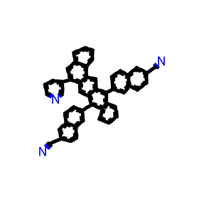 N#Cc1ccc2cc(-c3c4ccccc4c(-c4ccc5cc(C#N)ccc5c4)c4cc5c(cc34)c(-c3cccnc3)cc3ccccc35)ccc2c1